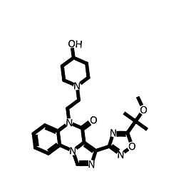 COC(C)(C)c1nc(-c2ncn3c2c(=O)n(CCN2CCC(O)CC2)c2ccccc23)no1